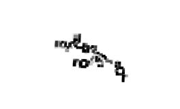 CCOC(Cc1ccc(OCCN(CCCCOc2ccc(F)cc2)C(=O)OCc2ccc(F)cc2)cc1)C(=O)O